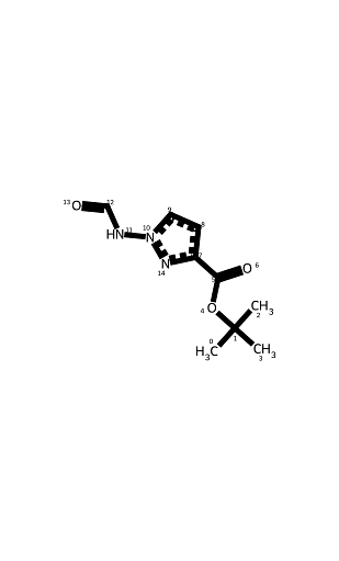 CC(C)(C)OC(=O)c1ccn(NC=O)n1